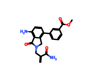 C=C(CN1Cc2c(-c3cccc(C(=O)OC)c3)ccc(N)c2C1=O)C(N)=O